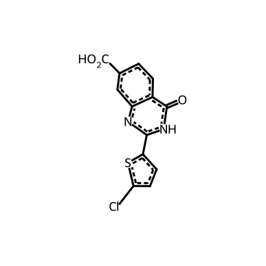 O=C(O)c1ccc2c(=O)[nH]c(-c3ccc(Cl)s3)nc2c1